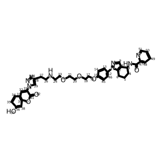 O=C(NC1CCCc2c1cnn2-c1ccc(OCCOCCOCCNCCc2cn(-c3cc4ccc(O)cc4oc3=O)nn2)cc1)c1ccccn1